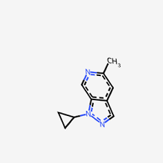 Cc1cc2cnn(C3CC3)c2cn1